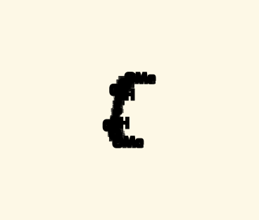 COc1ccc(C(=O)NCCCSCCCNC(=O)c2ccc(OC)cc2)cc1